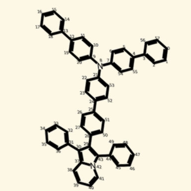 c1ccc(-c2ccc(N(c3ccc(-c4ccccc4)cc3)c3ccc(-c4ccc(-c5c(-c6ccccc6)c6ccccn6c5-c5ccccc5)cc4)cc3)cc2)cc1